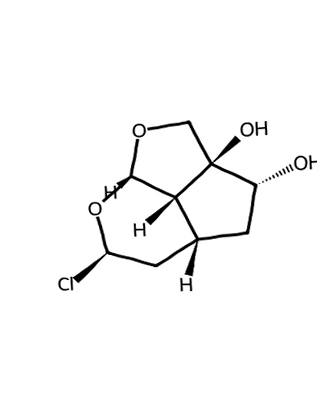 O[C@@H]1C[C@@H]2C[C@@H](Cl)O[C@@H]3OC[C@@]1(O)[C@H]23